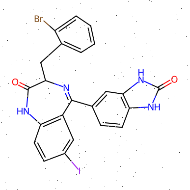 O=C1Nc2ccc(I)cc2C(c2ccc3[nH]c(=O)[nH]c3c2)=NC1Cc1ccccc1Br